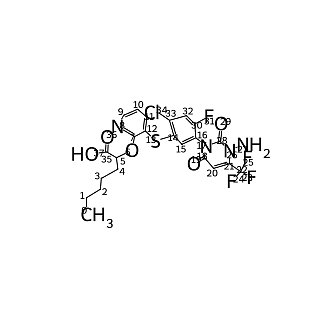 CCCCCC(Oc1ncccc1Sc1cc(-n2c(=O)cc(C(F)(F)F)n(N)c2=O)c(F)cc1Cl)C(=O)O